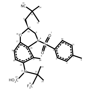 Cc1ccc(S(=O)(=O)N2C[C@H](CC(C)(C)C#N)Oc3ccc(N(C(=O)O)C(C)(C)C(F)(F)F)c(C)c32)cc1